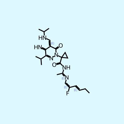 CC/C=C/C(F)=C\N=C(/C)NC(=O)C1(N2N=C(C(C)C)C(=N)/C(=C\NC(C)C)C2=O)CC1